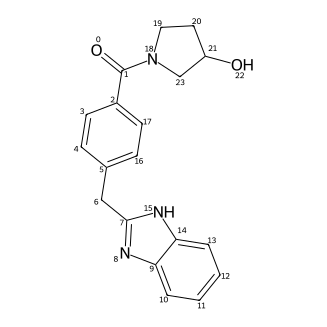 O=C(c1ccc(Cc2nc3ccccc3[nH]2)cc1)N1CCC(O)C1